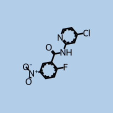 O=C(Nc1cc(Cl)ccn1)c1cc([N+](=O)[O-])ccc1F